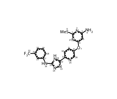 CSc1nc(N)cc(Oc2ccc(-c3nnc(Nc4cccc(C(F)(F)F)c4)[nH]3)nc2)n1